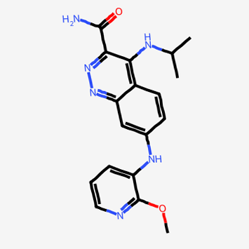 COc1ncccc1Nc1ccc2c(NC(C)C)c(C(N)=O)nnc2c1